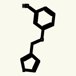 Oc1cccc(OCc2ccsc2)c1